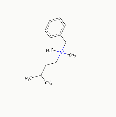 CC(C)CC[N+](C)(C)Cc1ccccc1